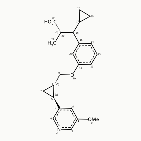 COc1cncc([C@H]2C[C@@H]2COc2cccc(C(C3CC3)[C@H](C)C(=O)O)c2)c1